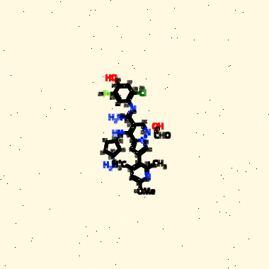 COc1cc(C)c(-c2cc3c(N[C@H]4CC[C@@H](N)C4)c(C(N)=Nc4cc(F)c(O)cc4Cl)cnn3c2)c(C)n1.O=CO